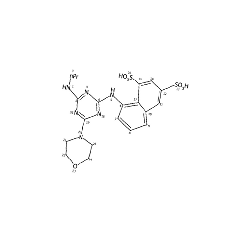 CCCNc1nc(Nc2cccc3cc(S(=O)(=O)O)cc(S(=O)(=O)O)c23)nc(N2CCOCC2)n1